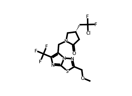 COCc1nn2c(CN3C[C@H](CC(F)(F)Cl)CC3=O)c(C(F)(F)F)nc2s1